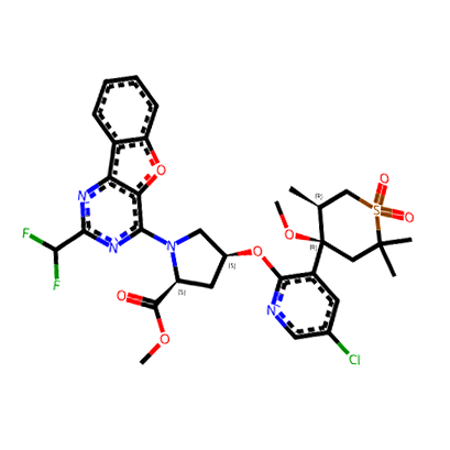 COC(=O)[C@@H]1C[C@H](Oc2ncc(Cl)cc2[C@@]2(OC)CC(C)(C)S(=O)(=O)C[C@@H]2C)CN1c1nc(C(F)F)nc2c1oc1ccccc12